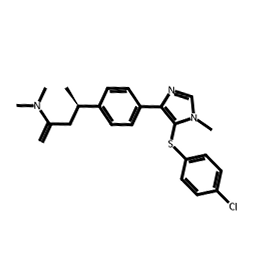 C=C(C[C@@H](C)c1ccc(-c2ncn(C)c2Sc2ccc(Cl)cc2)cc1)N(C)C